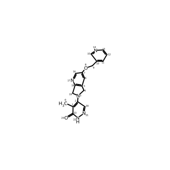 Cc1c(N2Cc3cc(OCc4cccnc4)cnc3C2)cn[nH]c1=O